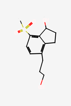 O=S(=O)(c1ccc(CCCO)c2c1C(O)CC2)C(F)(F)F